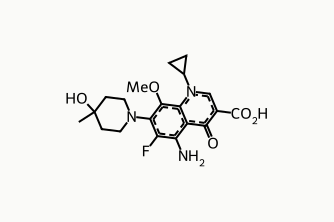 COc1c(N2CCC(C)(O)CC2)c(F)c(N)c2c(=O)c(C(=O)O)cn(C3CC3)c12